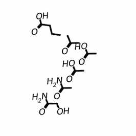 CC(=O)O.CC(=O)O.CC(C)=O.CC(N)=O.CCCC(=O)O.NC(=O)CO